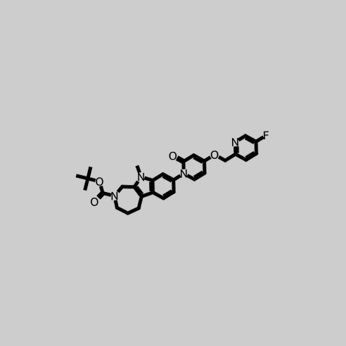 Cn1c2c(c3ccc(-n4ccc(OCc5ccc(F)cn5)cc4=O)cc31)CCCN(C(=O)OC(C)(C)C)C2